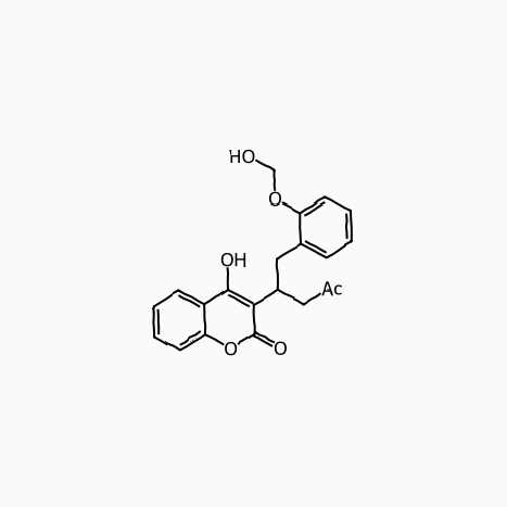 CC(=O)CC(Cc1ccccc1OCO)c1c(O)c2ccccc2oc1=O